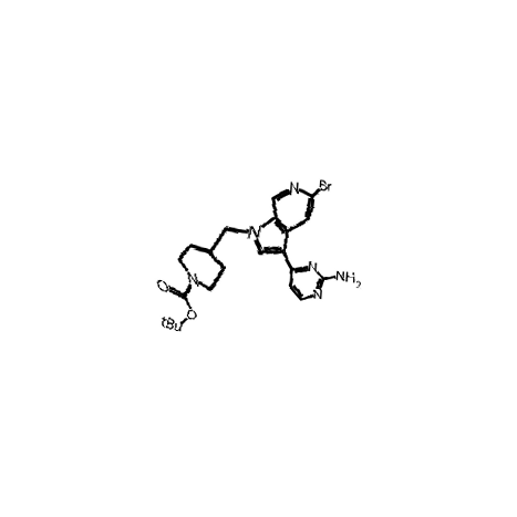 CC(C)(C)OC(=O)N1CCC(Cn2cc(-c3ccnc(N)n3)c3cc(Br)ncc32)CC1